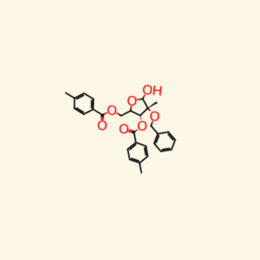 Cc1ccc(C(=O)OCC2OC(O)[C@](C)(OCc3ccccc3)[C@@H]2OC(=O)c2ccc(C)cc2)cc1